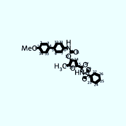 COc1ccc(-c2ccc(NC(=O)Oc3cc(C(=O)NS(=O)(=O)c4ccccc4)oc3C)cc2)cc1